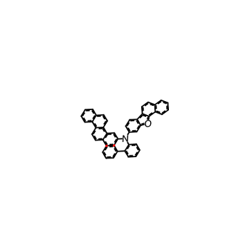 c1ccc(-c2ccccc2N(c2ccc3c(c2)oc2c4ccccc4ccc32)c2ccc3ccc4c5ccccc5ccc4c3c2)cc1